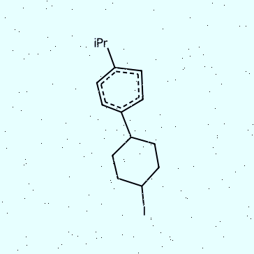 CC(C)c1ccc(C2CCC(I)CC2)cc1